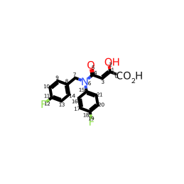 O=C(O)C(O)=CC(=O)N(Cc1ccc(F)cc1)c1ccc(F)cc1